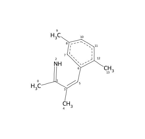 CC(=N)/C(C)=C\c1cc(C)ccc1C